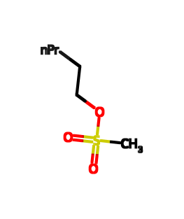 C[CH]CCCOS(C)(=O)=O